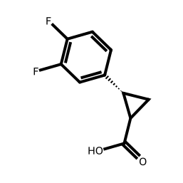 O=C(O)C1C[C@H]1c1ccc(F)c(F)c1